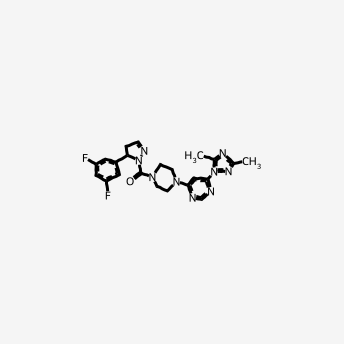 Cc1nc(C)n(-c2cc(N3CCN(C(=O)N4N=CCC4c4cc(F)cc(F)c4)CC3)ncn2)n1